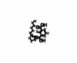 CCCCCCN1CCCC1.Cc1c(C(=O)O)cccc1C(=O)O